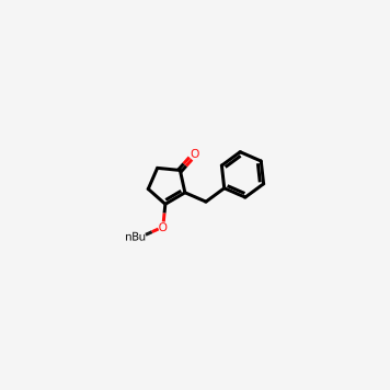 CCCCOC1=C(Cc2ccccc2)C(=O)CC1